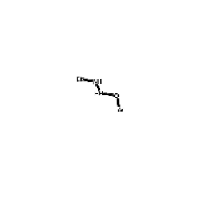 CCNNOC(C)=O